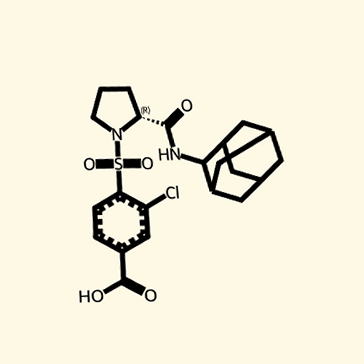 O=C(O)c1ccc(S(=O)(=O)N2CCC[C@@H]2C(=O)NC2C3CC4CC(C3)CC2C4)c(Cl)c1